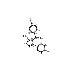 Cc1ccc(-n2cnc(N)c2C(=O)c2ccc(F)cc2)cc1